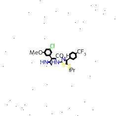 COc1cc(Cl)cc(/C(C(C)=N)=C(/Nc2nc(-c3ccc(C(F)(F)F)cc3)c(SC(C)C)s2)C(=O)O)c1